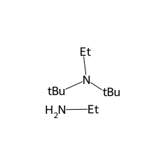 CCN.CCN(C(C)(C)C)C(C)(C)C